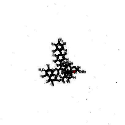 [2H]c1c([2H])c(F)c(F)c(C([2H])([2H])Sc2c([2H])c(=O)c3c([2H])c(C)c([2H])c([2H])c3n2CC(=O)N(C([2H])([2H])c2c([2H])c([2H])c(-c3c([2H])c([2H])c(C(F)(F)F)c([2H])c3[2H])c([2H])c2[2H])C2([2H])C([2H])([2H])C([2H])([2H])N(CC([2H])([2H])OC)C([2H])([2H])C2([2H])[2H])c1[2H]